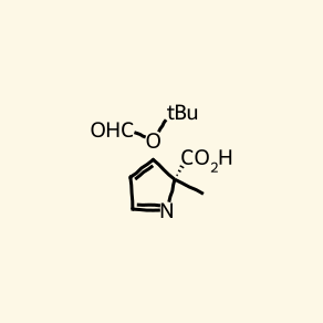 CC(C)(C)OC=O.C[C@]1(C(=O)O)C=CC=N1